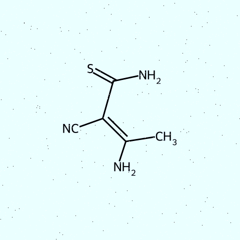 CC(N)=C(C#N)C(N)=S